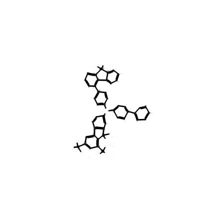 CC(C)(C)c1cc2c(c(C(C)(C)C)c1)C(C)(C)c1cc(N(c3ccc(-c4ccccc4)cc3)c3ccc(-c4cccc5c4-c4ccccc4C5(C)C)cc3)ccc1-2